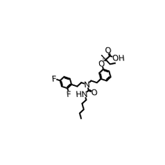 CCCCCNC(=O)N(CCc1cccc(O[C@@](C)(CC)C(=O)O)c1)CCc1ccc(F)cc1F